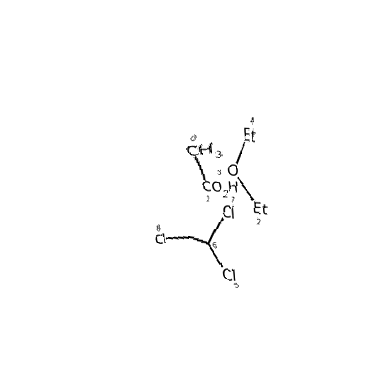 CC(=O)O.CCOCC.ClC(Cl)Cl